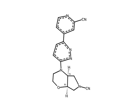 N#Cc1cc(-c2ccc(N3CCO[C@@H]4CN(C#N)C[C@@H]43)nn2)ccn1